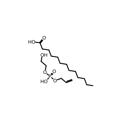 C=CCOP(=O)(O)OCCO.CCCCCCCCCCCCC(=O)O